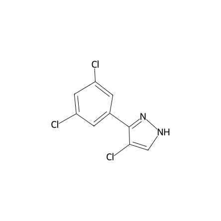 Clc1cc(Cl)cc(-c2n[nH]cc2Cl)c1